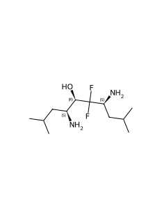 CC(C)C[C@H](N)[C@@H](O)C(F)(F)[C@@H](N)CC(C)C